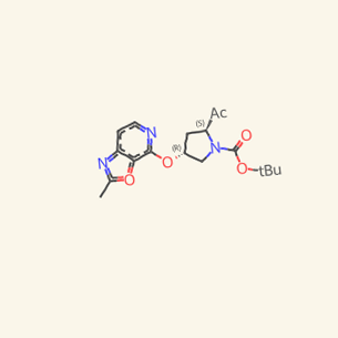 CC(=O)[C@@H]1C[C@@H](Oc2nccc3nc(C)oc23)CN1C(=O)OC(C)(C)C